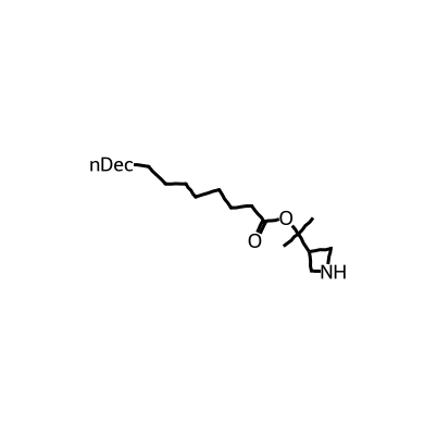 CCCCCCCCCCCCCCCCCC(=O)OC(C)(C)C1CNC1